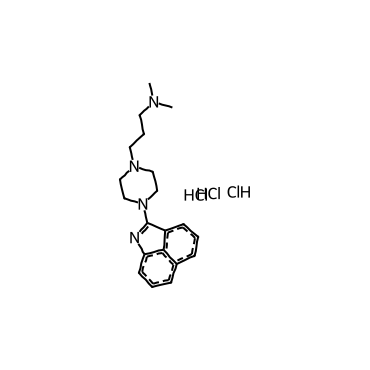 CN(C)CCCN1CCN(C2=Nc3cccc4cccc2c34)CC1.Cl.Cl.Cl